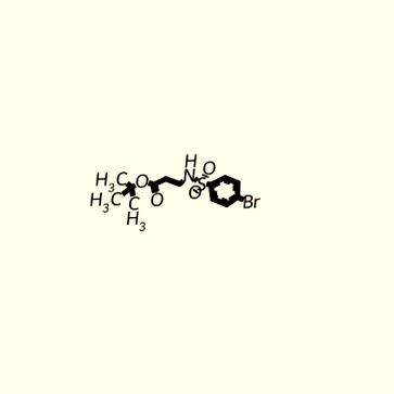 CC(C)(C)OC(=O)CCNS(=O)(=O)c1ccc(Br)cc1